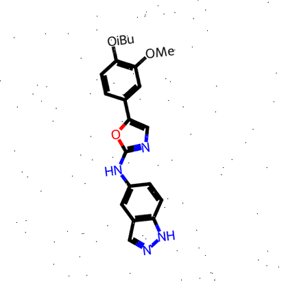 COc1cc(-c2cnc(Nc3ccc4[nH]ncc4c3)o2)ccc1OCC(C)C